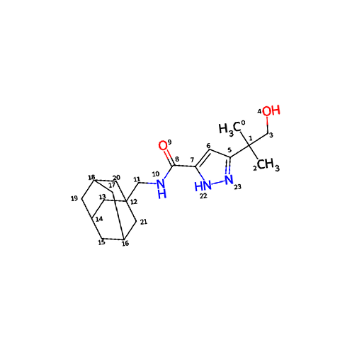 CC(C)(CO)c1cc(C(=O)NCC23CC4CC(CC(C4)C2)C3)[nH]n1